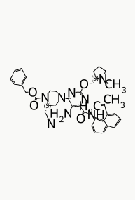 C=C(C)c1cccc2cccc(NC(=O)c3nc(OC[C@@H]4CCCN4C)nc(N4CCN(C(=O)OCc5ccccc5)[C@@H](CC#N)C4)c3N)c12